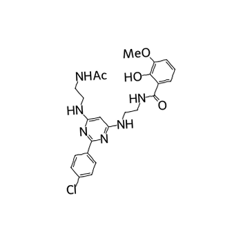 COc1cccc(C(=O)NCCNc2cc(NCCNC(C)=O)nc(-c3ccc(Cl)cc3)n2)c1O